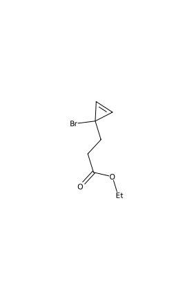 CCOC(=O)CCC1(Br)C=C1